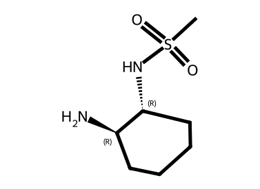 CS(=O)(=O)N[C@@H]1CCCC[C@H]1N